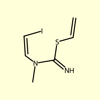 C=CSC(=N)N(C)/C=C\I